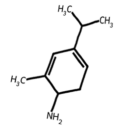 CC1=CC(C(C)C)=CCC1N